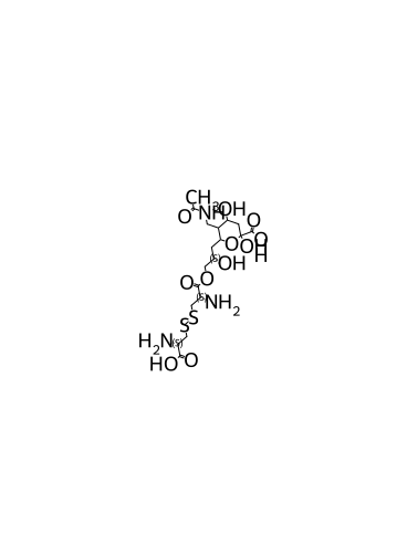 CC(=O)NCC1C(O)CC(O)(C(=O)O)OC1C[C@H](O)COC(=O)[C@H](N)CSSC[C@@H](N)C(=O)O